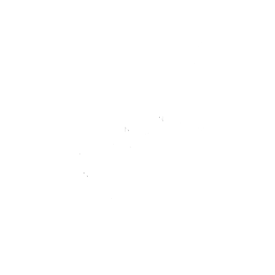 COc1ccc([C@](C)(NC(=O)N2CCC[C@@H]3C(=O)N4CCc5ccccc5[C@@H]4C[C@@H]32)OC)cc1